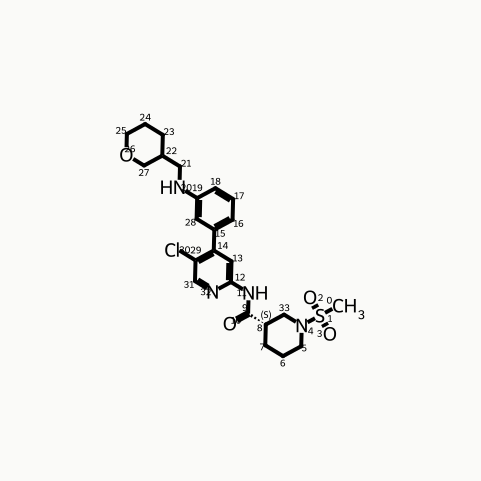 CS(=O)(=O)N1CCC[C@H](C(=O)Nc2cc(-c3cccc(NCC4CCCOC4)c3)c(Cl)cn2)C1